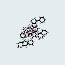 CC1=Cc2c(-c3ccccc3)cccc2[CH]1[Zr]([CH3])([CH3])(=[C](C)C)([CH]1C(C)=Cc2c(-c3ccccc3)cccc21)[Zr]([Cl])([Cl])(=[C](C)C)([CH]1C(C)=Cc2c(-c3cccc4ccccc34)cccc21)[CH]1C(C)=Cc2c(-c3cccc4ccccc34)cccc21